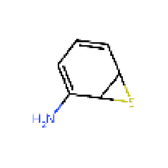 NC1=CC=CC2SC12